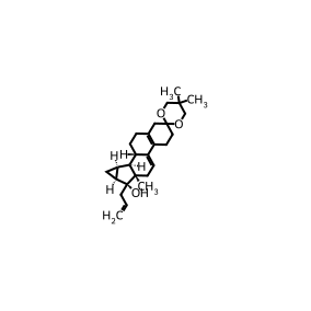 C=CC[C@]1(O)[C@H]2C[C@H]2[C@H]2[C@@H]3CCC4=C(CCC5(C4)OCC(C)(C)CO5)C3=CC[C@@]21C